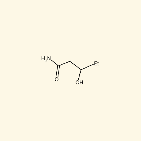 [CH2]CC(O)CC(N)=O